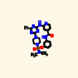 CCc1nc(Nc2cc(C(=O)Nc3ccccc3)ccn2)nc(N2CCN(S(=O)(=O)N(C)C)CC2)n1